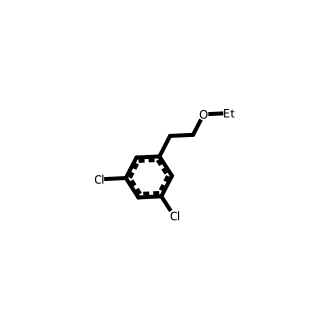 [CH2]COCCc1cc(Cl)cc(Cl)c1